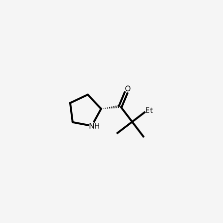 CCC(C)(C)C(=O)[C@H]1CCCN1